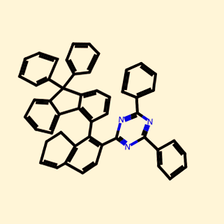 C1=Cc2ccc(-c3nc(-c4ccccc4)nc(-c4ccccc4)n3)c(-c3cccc4c3-c3ccccc3C4(c3ccccc3)c3ccccc3)c2CC1